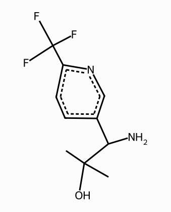 CC(C)(O)C(N)c1ccc(C(F)(F)F)nc1